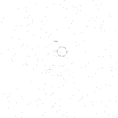 O=C(O)c1ccc(O[C@@H]2O[C@H](CO)[C@@H](O)[C@H](O)[C@H]2O)cc1O